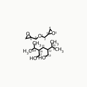 C(OCC1CO1)C1CO1.CC(C)C(CO)CC(CO)C(C)C